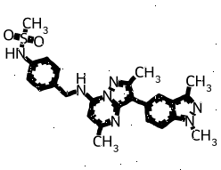 Cc1cc(NCc2ccc(NS(C)(=O)=O)cc2)n2nc(C)c(-c3ccc4c(c3)c(C)nn4C)c2n1